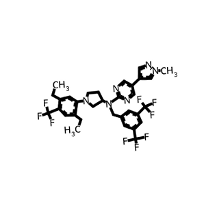 CCc1cc(C(F)(F)F)c(CC)cc1N1CCC(N(Cc2cc(C(F)(F)F)cc(C(F)(F)F)c2)c2ncc(-c3cnn(C)c3)cn2)C1